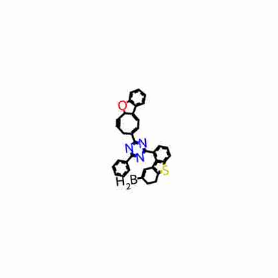 BC1=Cc2c(sc3cccc(-c4nc(/C5=C/C=C6/c7ccccc7OC6C#CC5)nc(-c5ccccc5)n4)c23)CC1